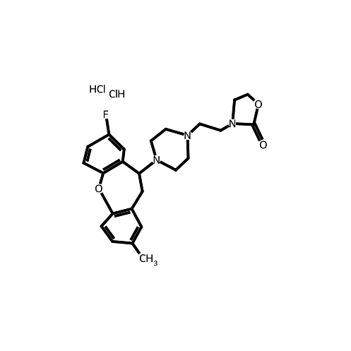 Cc1ccc2c(c1)CC(N1CCN(CCN3CCOC3=O)CC1)c1cc(F)ccc1O2.Cl.Cl